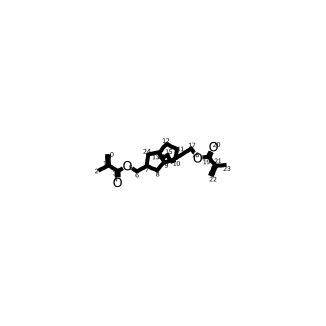 C=C(C)C(=O)OCC1CC2C3CCC2(CCC3COC(=O)C(=C)C)C1